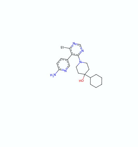 CCc1ncnc(N2CCC(O)(C3CCCCC3)CC2)c1-c1ccc(N)nc1